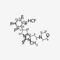 Cl.Cn1c(CCN2CCOCC2)c2n(c1=S)CC(c1c(F)c(F)cc(F)c1F)C2